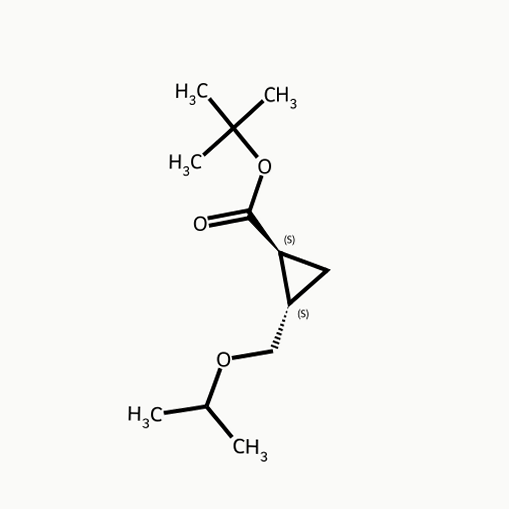 CC(C)OC[C@H]1C[C@@H]1C(=O)OC(C)(C)C